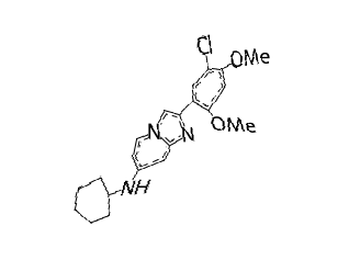 COc1cc(OC)c(-c2cn3ccc(NC4CCCCC4)cc3n2)cc1Cl